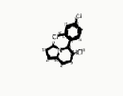 Cl.Clc1ccc(C2CCCC3CCCN32)c(Cl)c1